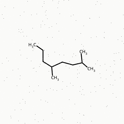 C[CH]CC(C)CCC(C)C